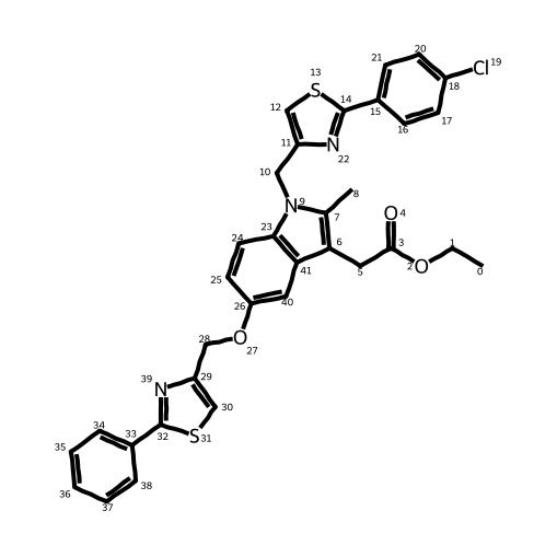 CCOC(=O)Cc1c(C)n(Cc2csc(-c3ccc(Cl)cc3)n2)c2ccc(OCc3csc(-c4ccccc4)n3)cc12